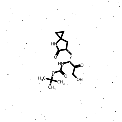 CC(C)(C)OC(=O)N[C@H](CC1CC2(CC2)NC1=O)C(=O)CO